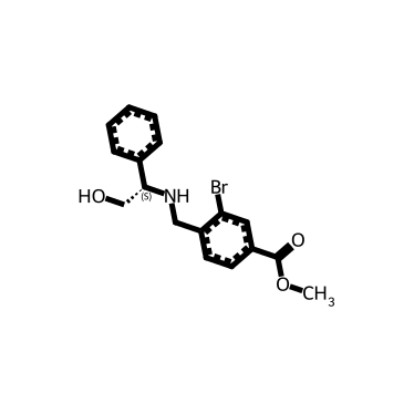 COC(=O)c1ccc(CN[C@H](CO)c2ccccc2)c(Br)c1